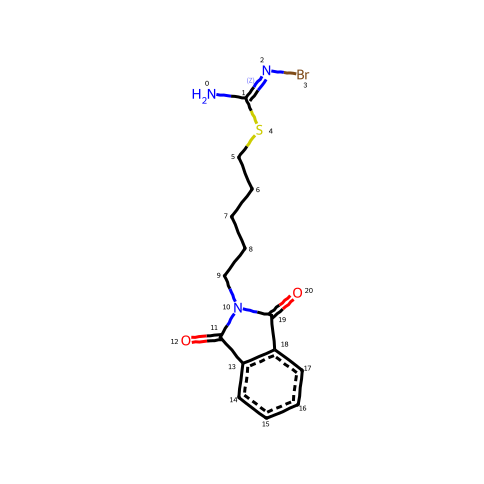 N/C(=N/Br)SCCCCCN1C(=O)c2ccccc2C1=O